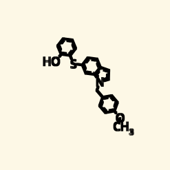 COc1ccc(Cn2ccc3ccc(Sc4ccccc4O)cc32)cc1